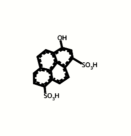 O=S(=O)(O)c1ccc2ccc3c(O)cc(S(=O)(=O)O)c4ccc1c2c34